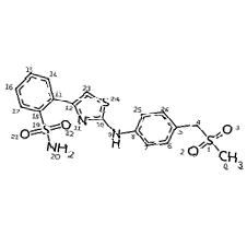 CS(=O)(=O)Cc1ccc(Nc2nc(-c3ccccc3S(N)(=O)=O)cs2)cc1